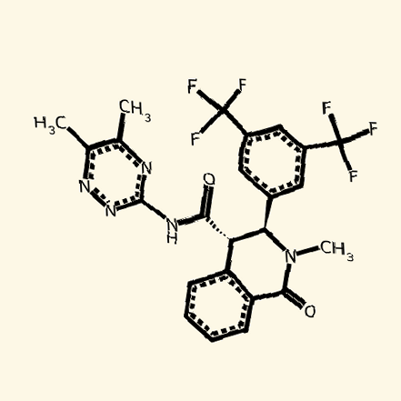 Cc1nnc(NC(=O)[C@H]2c3ccccc3C(=O)N(C)[C@@H]2c2cc(C(F)(F)F)cc(C(F)(F)F)c2)nc1C